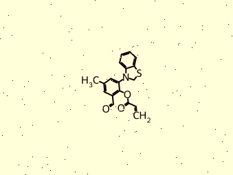 C=CC(=O)Oc1c(C=O)cc(C)cc1N1CSc2ccccc21